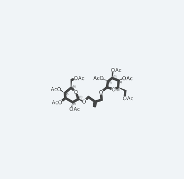 C=C(COC1O[C@H](COC(C)=O)[C@@H](OC(C)=O)[C@H](OC(C)=O)[C@H]1OC(C)=O)CO[C@@H]1O[C@H](COC(C)=O)[C@@H](OC(C)=O)C(OC(C)=O)[C@H]1OC(C)=O